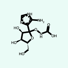 Nc1[nH]cnc1C1(ONC(=O)O)O[C@H](CO)[C@@H](O)[C@H]1O